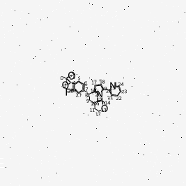 CS(=O)(=O)c1ccc(C(CC2CCOCC2)c2ccc(-c3ccccn3)[nH]2)cc1F